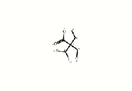 CCC(CCl)(C(=O)Cl)C(F)F